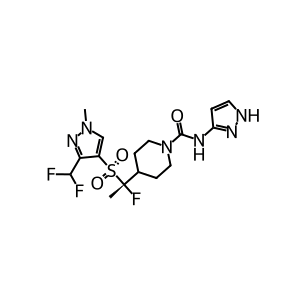 Cn1cc(S(=O)(=O)[C@@](C)(F)C2CCN(C(=O)Nc3cc[nH]n3)CC2)c(C(F)F)n1